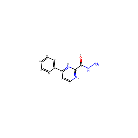 NNC(=O)c1nccc(-c2ccccc2)n1